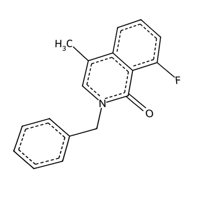 Cc1cn(Cc2ccccc2)c(=O)c2c(F)cccc12